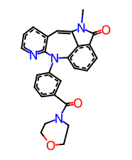 CN1C(=O)c2cccc3c2C1=Cc1cccnc1N3c1cccc(C(=O)N2CCOCC2)c1